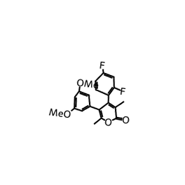 COc1cc(OC)cc(-c2c(C)oc(=O)c(C)c2-c2ccc(F)cc2F)c1